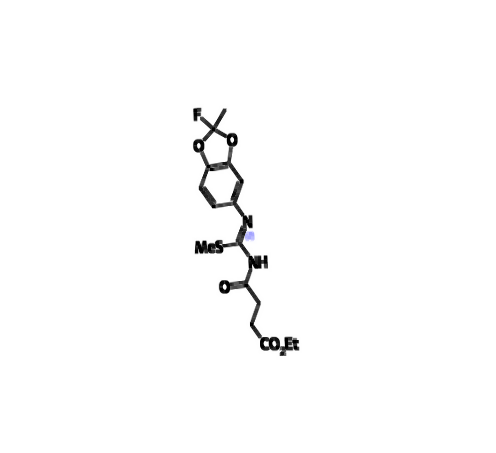 CCOC(=O)CCC(=O)N/C(=N/c1ccc2c(c1)OC(C)(F)O2)SC